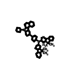 CC1(C)c2ccccc2-c2ccc(N(c3ccc(-c4ccc5c(c4)c4c6ccccc6ccc4n5-c4ccccc4)cc3)c3cnc4c(c3)C(C)(C)c3ccccc3-4)cc21